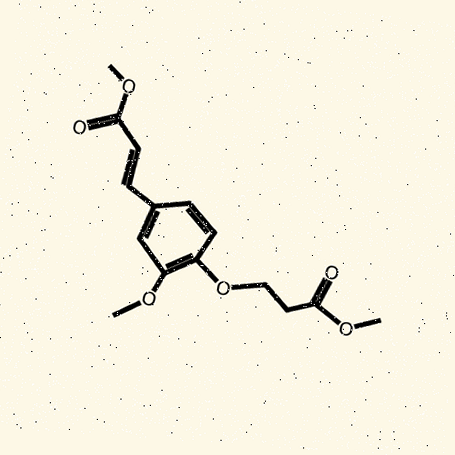 COC(=O)C=Cc1ccc(OCCC(=O)OC)c(OC)c1